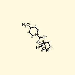 CC1CCN(C(=O)O[C@H]2CN3CCC2CC3)CC1